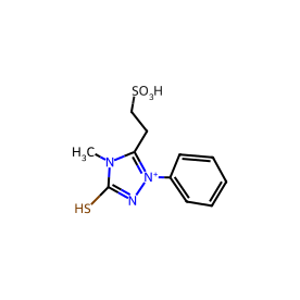 Cn1c(S)n[n+](-c2ccccc2)c1CCS(=O)(=O)O